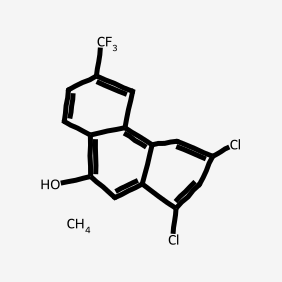 C.Oc1cc2c(Cl)cc(Cl)cc2c2cc(C(F)(F)F)ccc12